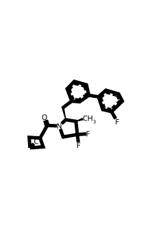 C[C@@H]1[C@H](Cc2cccc(-c3cccc(F)c3)c2)N(C(=O)C23CC(C2)C3)CC1(F)F